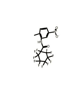 Cc1ccc([N+](=O)[O-])cc1NC(=O)C1(F)C(F)(F)C(F)(F)C(F)(F)C(F)(F)C1(F)F